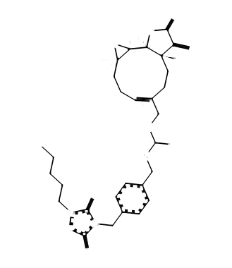 C=C1C(=O)O[C@H]2[C@H]1CC/C(COC(O)NCc1ccc(Cn3c(=O)sn(CCCCC)c3=O)cc1)=C\CC[C@@]1(C)O[C@@H]21